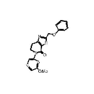 COc1cncc(N2CCc3nc(COc4ccccc4)oc3C2=O)n1